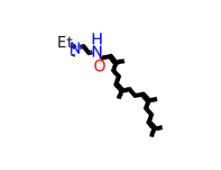 CCN(C)CCNC(=O)C=C(C)CCC=C(C)CCC=C(C)CCC=C(C)C